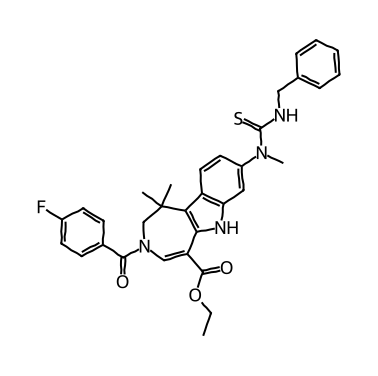 CCOC(=O)C1=CN(C(=O)c2ccc(F)cc2)CC(C)(C)c2c1[nH]c1cc(N(C)C(=S)NCc3ccccc3)ccc21